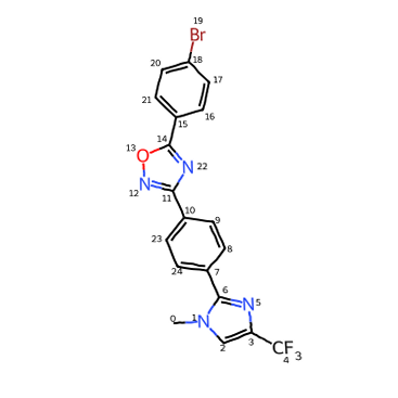 Cn1cc(C(F)(F)F)nc1-c1ccc(-c2noc(-c3ccc(Br)cc3)n2)cc1